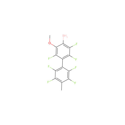 Bc1c(F)c(F)c(-c2c(F)c(F)c(C)c(F)c2F)c(F)c1OC